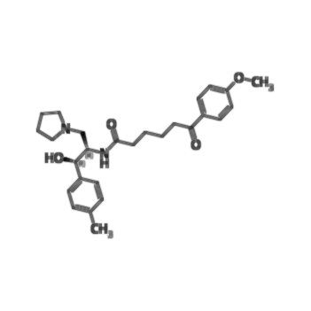 COc1ccc(C(=O)CCCCC(=O)N[C@H](CN2CCCC2)[C@H](O)c2ccc(C)cc2)cc1